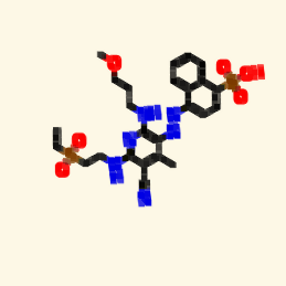 C=CS(=O)(=O)CCNc1nc(NCCCOC)c(/N=N/c2ccc(S(=O)(=O)O)c3ccccc23)c(C)c1C#N